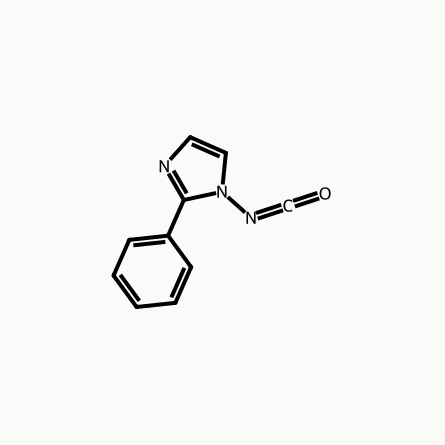 O=C=Nn1ccnc1-c1ccccc1